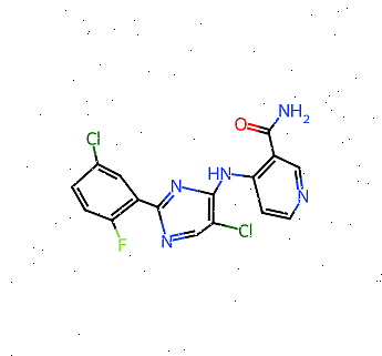 NC(=O)c1cnccc1Nc1nc(-c2cc(Cl)ccc2F)ncc1Cl